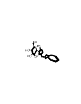 OC[C@H]1O[C@@H](c2cc(CC3=CC4CC=CC=CC4=C3)ccc2O)[C@H](O)[C@@H](O)[C@@H]1O